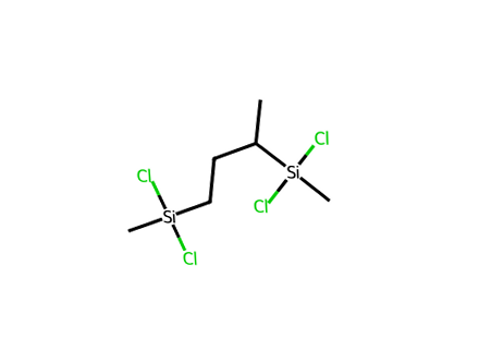 CC(CC[Si](C)(Cl)Cl)[Si](C)(Cl)Cl